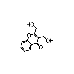 O=c1c(CO)c(CO)oc2ccccc12